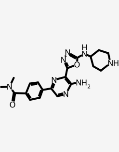 CN(C)C(=O)c1ccc(-c2cnc(N)c(-c3nnc(NC4CCNCC4)o3)n2)cc1